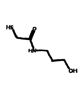 O=C(CS)NCCCO